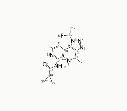 CC1c2nnn(C(F)F)c2-c2ccnc(NC(=O)C3CC3)c2N1C